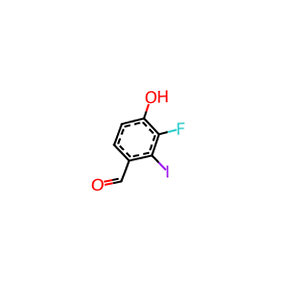 O=Cc1ccc(O)c(F)c1I